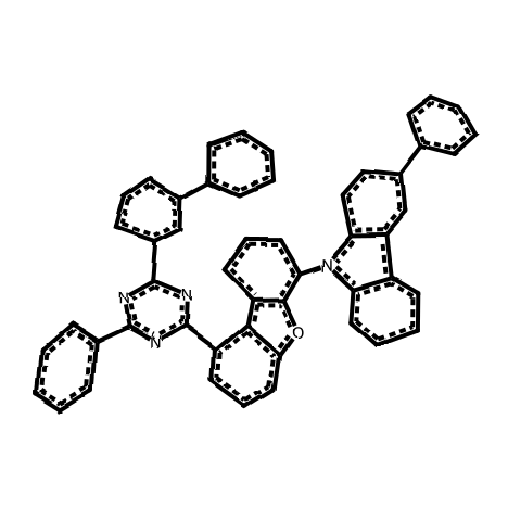 c1ccc(-c2cccc(-c3nc(-c4ccccc4)nc(-c4cccc5oc6c(-n7c8ccccc8c8cc(-c9ccccc9)ccc87)cccc6c45)n3)c2)cc1